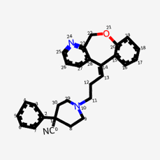 N#CC1(c2ccccc2)CCN(CCC=C2c3ccccc3OCc3ncccc32)CC1